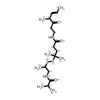 CC=CC(C)C(=O)CCNC(=O)CCC(C)(C)SSC(C)CNC(=O)C(C)C